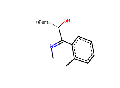 CCCCC[C@H](O)/C(=N/C)c1ccccc1C